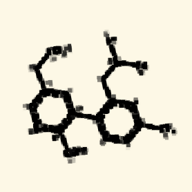 CCN(Cc1cc(C(F)(F)F)ccc1-c1cc(CC(=O)O)cnc1OC)C(C)=O